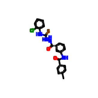 Cc1ccc(C(=O)Nc2cccc(C(=O)NNC(=S)Nc3ccccc3Cl)c2)cc1